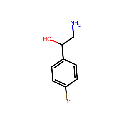 NCC(O)c1ccc(Br)cc1